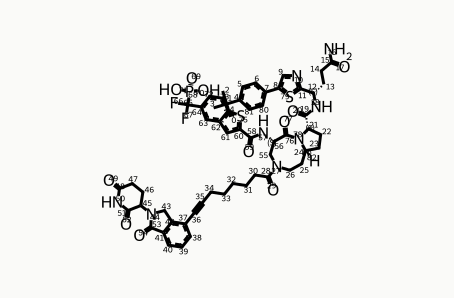 CC(C)(C)c1ccc(-c2cnc([C@H](CCC(N)=O)NC(=O)[C@@H]3CC[C@@H]4CCN(C(=O)CCCCCC#Cc5cccc6c5CN(C5CCC(=O)NC5=O)C6=O)C[C@H](NC(=O)c5cc6cc(C(F)(F)P(=O)(O)O)ccc6s5)C(=O)N43)s2)cc1